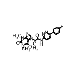 CC(C(=O)Nc1ccc(-c2ccc(F)cc2)nn1)n1cnc2c1c(=O)n(C)c(=O)n2C